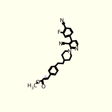 COC(=O)/C=C/c1ccc(CCC2CCN(c3nccc(-c4ccc(C#N)c(F)c4)c3C#N)CC2)cc1